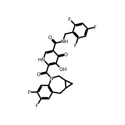 O=C(NCc1c(F)cc(F)cc1F)c1c[nH]c(C(=O)N2CC3CC3Cc3cc(F)c(F)cc32)c(O)c1=O